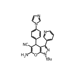 CC(C)(C)n1nc(-c2cccnc2)c2c1OC(N)=C(C#N)C2c1ccc(-n2ccnc2)cc1